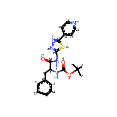 CC(C)(C)OC(=O)NC(Cc1ccccc1)C(=O)Nc1nnc(-c2ccncc2)s1